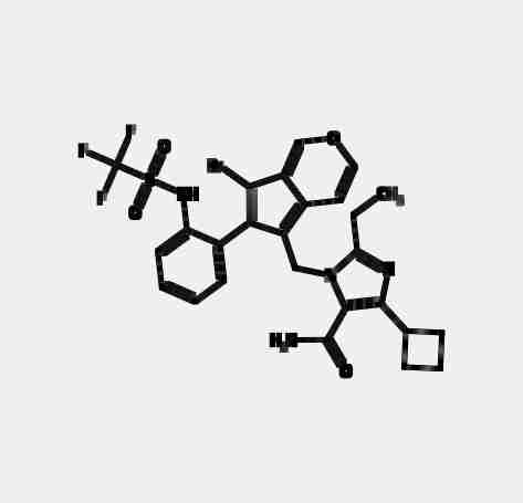 CCc1nc(C2CCC2)c(C(N)=O)n1Cc1c2ccocc-2c(Br)c1-c1ccccc1NS(=O)(=O)C(F)(F)F